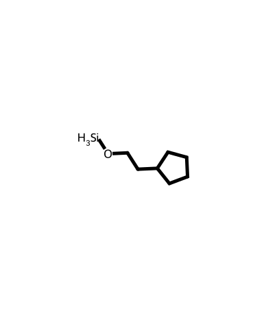 [SiH3]OCCC1CCCC1